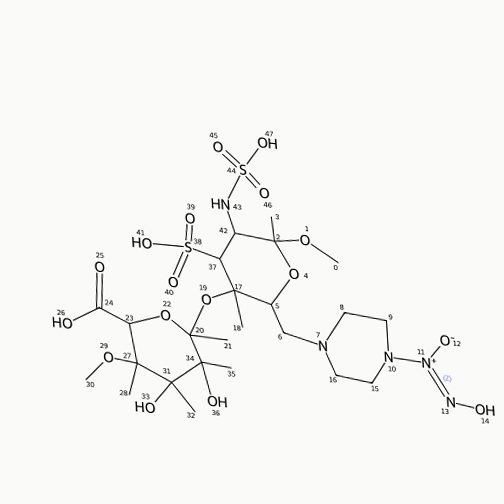 COC1(C)OC(CN2CCN(/[N+]([O-])=N/O)CC2)C(C)(OC2(C)OC(C(=O)O)C(C)(OC)C(C)(O)C2(C)O)C(S(=O)(=O)O)C1NS(=O)(=O)O